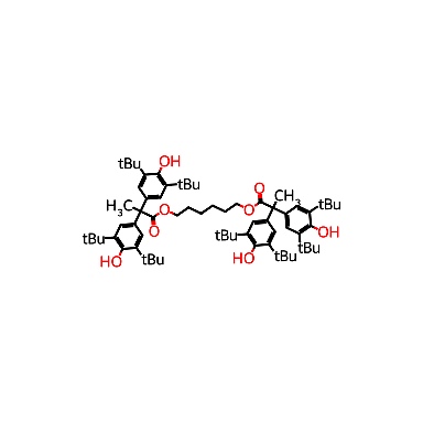 CC(C)(C)c1cc(C(C)(C(=O)OCCCCCCOC(=O)C(C)(c2cc(C(C)(C)C)c(O)c(C(C)(C)C)c2)c2cc(C(C)(C)C)c(O)c(C(C)(C)C)c2)c2cc(C(C)(C)C)c(O)c(C(C)(C)C)c2)cc(C(C)(C)C)c1O